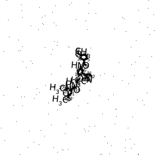 COc1cccc(C(=O)Nc2ccc(OCCNC(=O)C(CCSC)NC(C)=O)c(-c3ccnn3C)c2)c1